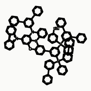 CC(C)(C)c1cccc([Si](c2ccccc2)(c2cc(-c3ccccc3)cc(-c3ccccc3)c2)c2cc(-c3ccc4c(c3)B3c5ccccc5N(c5cc(-c6ccccc6)cc(-c6ccccc6)c5)c5cc(-n6c7ccccc7c7ccccc76)cc(c53)O4)cc([Si](c3ccccc3)(c3cccc(-c4ccccc4)c3)c3cccc(-c4ccccc4)c3)c2)c1